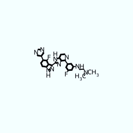 CN(C)CCNc1cc(F)cc(-c2nccc3[nH]c(-c4n[nH]c5ccc(-c6cncnc6)c(F)c45)nc23)c1